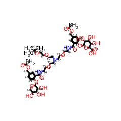 BC(=O)OCc1ccc(O[C@@H]2O[C@H](C(=O)O)[C@@H](O)[C@H](O)[C@H]2O)c(C(=O)NCCOCCN(CCOCCNC(=O)c2cc(COC(B)=O)ccc2O[C@@H]2OC[C@@H](O)[C@H](O)[C@H]2O)CCOCCOC(C)(C)C)c1